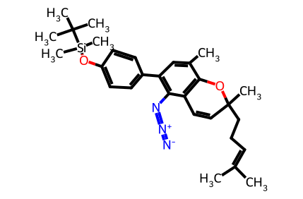 CC(C)=CCCC1(C)C=Cc2c(N=[N+]=[N-])c(-c3ccc(O[Si](C)(C)C(C)(C)C)cc3)cc(C)c2O1